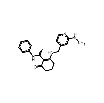 CNc1cc(CNC2=C(C(=S)Nc3ccccc3)C(=O)CCC2)ccn1